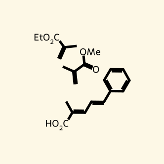 C=C(C)C(=O)OC.C=C(C)C(=O)OCC.CC(=CC=Cc1ccccc1)C(=O)O